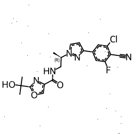 C[C@H](CNC(=O)c1coc(C(C)(C)O)n1)n1ccc(-c2cc(F)c(C#N)c(Cl)c2)n1